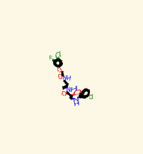 C=C(CCNC(=O)COc1ccc(Cl)c(F)c1)NC(=O)C1CNc2cc(Cl)ccc2O1